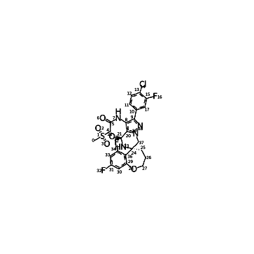 CS(=O)(=O)CC(=O)Nc1c(-c2ccc(Cl)c(F)c2)nn2c1C(=O)N[C@@]1(CCCOc3cc(F)cc(F)c31)C2